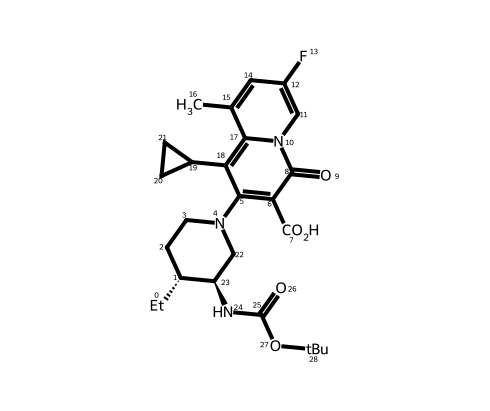 CC[C@@H]1CCN(c2c(C(=O)O)c(=O)n3cc(F)cc(C)c3c2C2CC2)C[C@H]1NC(=O)OC(C)(C)C